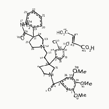 COc1cc(C(=O)N2CCC(CCN3CCC(C(N)=O)(c4ccccc4)CC3)(c3ccc(Cl)c(Cl)c3)C2)cc(OC)c1OC.O=C(O)C=CC(=O)O